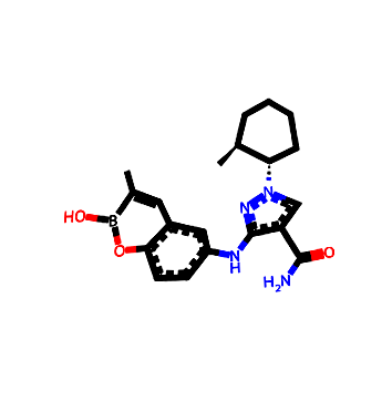 CC1=Cc2cc(Nc3nn([C@H]4CCCC[C@@H]4C)cc3C(N)=O)ccc2OB1O